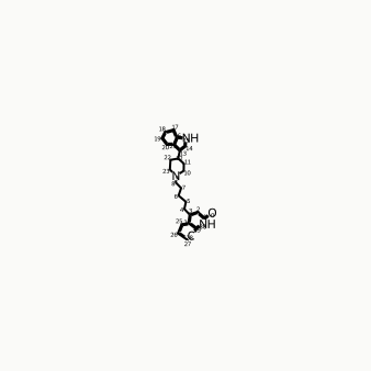 O=c1cc(CCCCCN2CCC(c3c[nH]c4ccccc34)CC2)c2ccccc2[nH]1